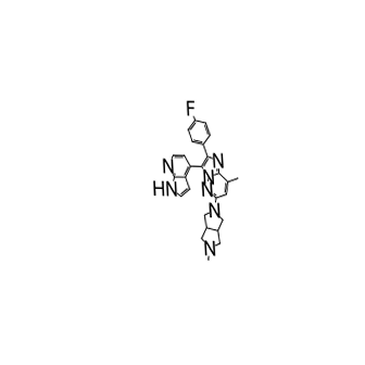 Cc1cc(N2CC3CN(C)CC3C2)nn2c(-c3ccnc4[nH]ccc34)c(-c3ccc(F)cc3)nc12